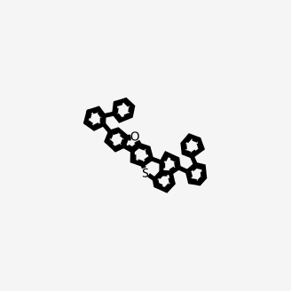 c1ccc(-c2ccccc2-c2ccc3c(c2)oc2cc4c(cc23)Sc2cccc3c(-c5ccccc5-c5ccccc5)ccc-4c23)cc1